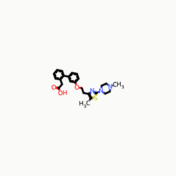 Cc1sc(N2CCN(C)CC2)nc1CCOc1cccc(-c2ccccc2CC(=O)O)c1